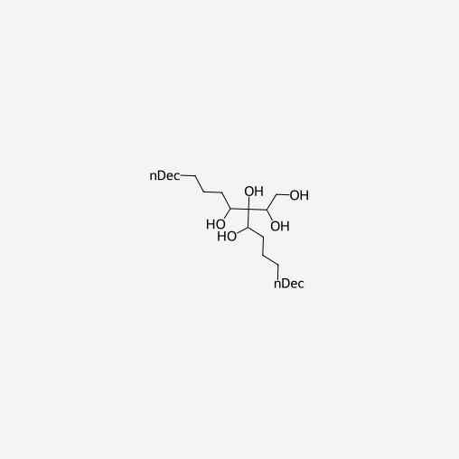 CCCCCCCCCCCCCC(O)C(O)(C(O)CO)C(O)CCCCCCCCCCCCC